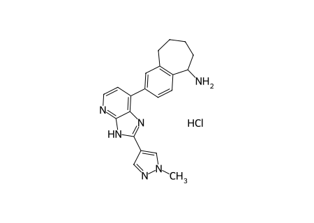 Cl.Cn1cc(-c2nc3c(-c4ccc5c(c4)CCCCC5N)ccnc3[nH]2)cn1